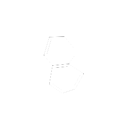 [c]1cccc2c1SCC=C2